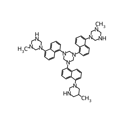 CC1CNCN(c2cccc3c(N4CN(c5cccc6c(N7CNCN(C)C7)cccc56)CN(c5cccc6c(N7CNCN(C)C7)cccc56)C4)cccc23)C1